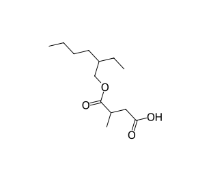 CCCCC(CC)COC(=O)C(C)CC(=O)O